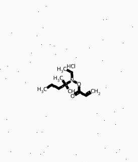 C=CC(=O)ON(CC)C(C)(C)CCC.Cl